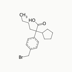 CCCCC(C(=O)O)(c1ccc(CBr)cc1)C1CCCC1